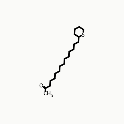 CC(=O)CCCCCCCCCCCCCC1CCCCS1